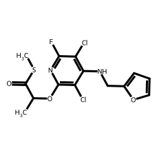 CSC(=O)C(C)Oc1nc(F)c(Cl)c(NCc2ccco2)c1Cl